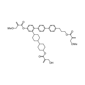 C=C(COC)C(=O)OCCCc1ccc(-c2ccc(-c3ccc(OC(=O)C(=C)COC)cc3C3CCC(C4CCC(OC(=O)C(=C)CO)CC4)CC3)cc2)cc1